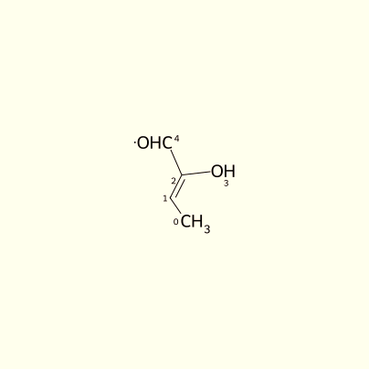 CC=C(O)[C]=O